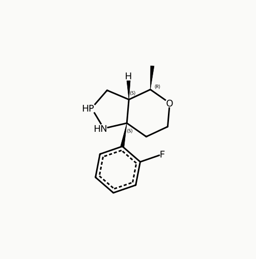 C[C@H]1OCC[C@]2(c3ccccc3F)NPC[C@H]12